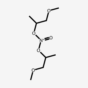 COCC(C)O[N+](=O)OC(C)COC